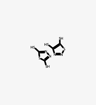 Sc1nnc(S)s1.Sc1nnsc1S